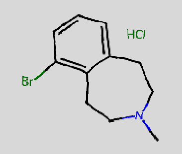 CN1CCc2cccc(Br)c2CC1.Cl